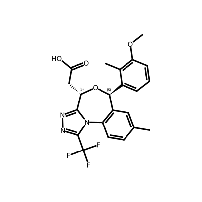 COc1cccc([C@@H]2O[C@@H](CC(=O)O)c3nnc(C(F)(F)F)n3-c3ccc(C)cc32)c1C